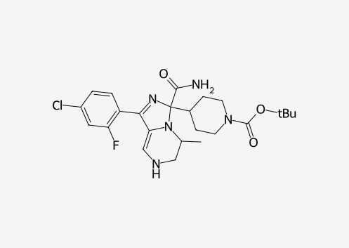 CC1CNC=C2C(c3ccc(Cl)cc3F)=NC(C(N)=O)(C3CCN(C(=O)OC(C)(C)C)CC3)N21